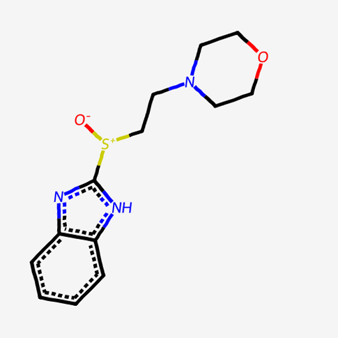 [O-][S+](CCN1CCOCC1)c1nc2ccccc2[nH]1